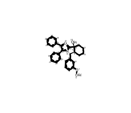 CC(=O)OOc1cccc(C[C@@H]2CCCC[C@@]2(O)c2nc(-c3ccccc3)c(-c3ccccc3)o2)c1